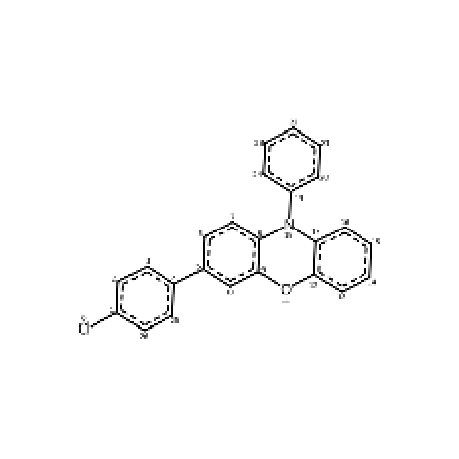 Clc1ccc(-c2ccc3c(c2)Oc2ccccc2N3c2ccccc2)cc1